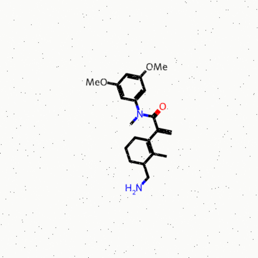 C=C(C(=O)N(C)c1cc(OC)cc(OC)c1)C1=C(C)C(CN)CCC1